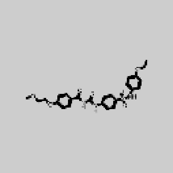 CCOc1ccc(NS(=O)(=O)c2ccc(NC(=S)NC(=O)c3ccc(OCCOC)cc3)cc2)cc1